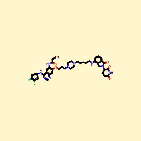 C=CC(=O)Nc1cc2c(Nc3ccc(F)c(Cl)c3)ncnc2cc1OCCCN1CCN(CCCCCNc2cccc3c2CN(C2CCC(=O)NC2=O)C3=O)CC1